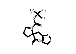 CC(C)(C)OC(=O)N1CCCC1(CC1=CCOO1)C(=O)O